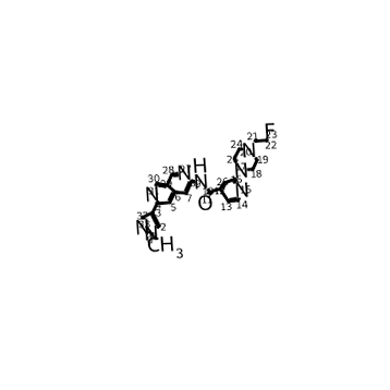 Cn1cc(-c2cc3cc(NC(=O)c4ccnc(N5CCN(CCF)CC5)c4)ncc3cn2)cn1